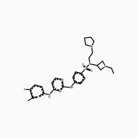 CCN1CC(N(CCN2CCCC2)S(=O)(=O)c2ccc(Nc3nccc(Nc4ccc(F)c(C)c4)n3)cc2)C1